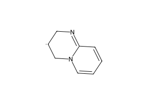 [CH]1CN=C2C=CC=CN2C1